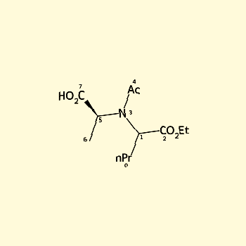 CCCC(C(=O)OCC)N(C(C)=O)[C@@H](C)C(=O)O